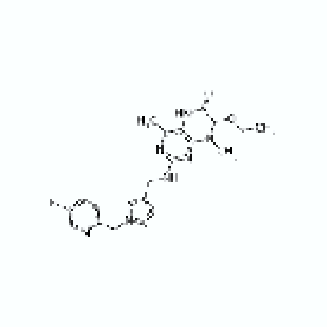 CCOC1C(=O)Nc2c(C)nc(NCc3cnn(Cc4ccc(F)cn4)c3)nc2N1C